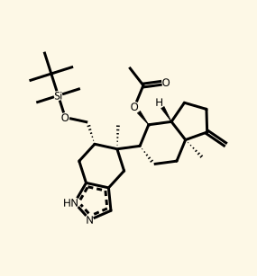 C=C1CC[C@H]2[C@H](OC(C)=O)[C@@H]([C@@]3(C)Cc4cn[nH]c4C[C@@H]3CO[Si](C)(C)C(C)(C)C)CC[C@]12C